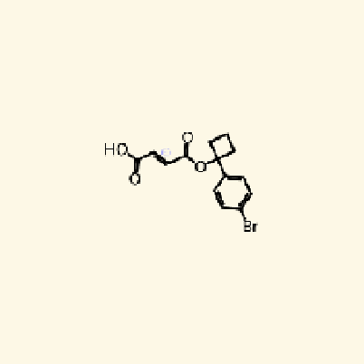 O=C(O)/C=C/C(=O)OC1(c2ccc(Br)cc2)CCC1